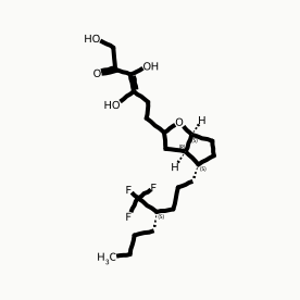 CCCC[C@@H](CCC[C@H]1CC[C@@H]2OC(CCC(O)=C(O)C(=O)CO)C[C@H]12)C(F)(F)F